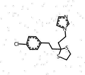 Clc1ccc(CCC2(CCn3ccnc3)SCCS2)cc1